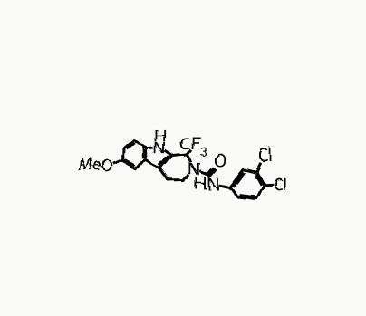 COc1ccc2[nH]c3c(c2c1)CCN(C(=O)Nc1ccc(Cl)c(Cl)c1)C3C(F)(F)F